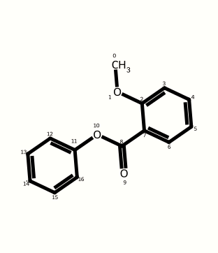 COc1ccccc1C(=O)Oc1cc[c]cc1